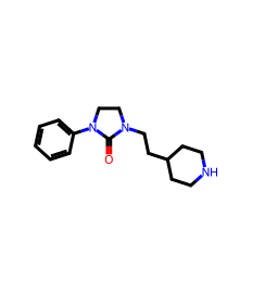 O=C1N(CCC2CCNCC2)CCN1c1ccccc1